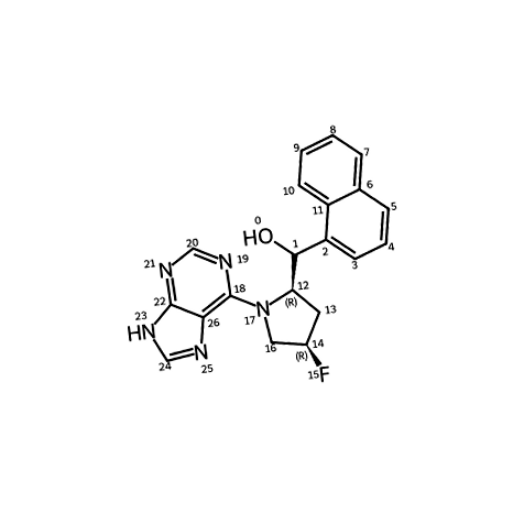 OC(c1cccc2ccccc12)[C@H]1C[C@@H](F)CN1c1ncnc2[nH]cnc12